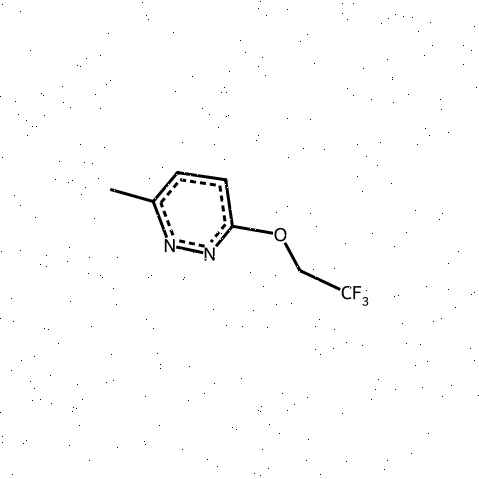 Cc1ccc(OCC(F)(F)F)nn1